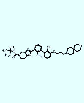 Cc1c(OCCCN2CCC3(CCOCC3)CC2)cccc1-c1cccc(-c2nc3c(s2)CN(C(=O)OC(C)(C)C)CC3)c1C